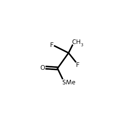 CSC(=O)C(C)(F)F